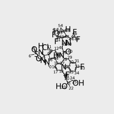 Cn1nc(NS(C)(=O)=O)c2c(Cl)ccc(-c3ccc(C#CC(C)(O)CO)nc3C(Cc3cc(F)cc(F)c3)NC(=O)Cn3nc(C(F)F)c4c3C(F)(F)[C@@H]3C[C@H]43)c21